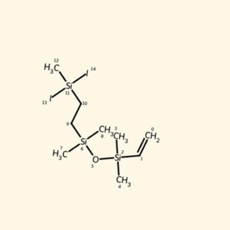 C=C[Si](C)(C)O[Si](C)(C)CC[Si](C)(I)I